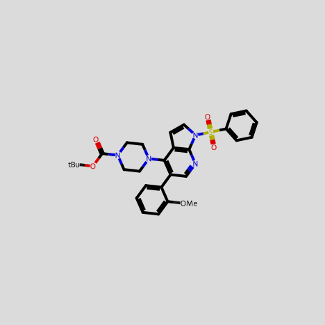 COc1ccccc1-c1cnc2c(ccn2S(=O)(=O)c2ccccc2)c1N1CCN(C(=O)OC(C)(C)C)CC1